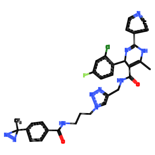 CC1=C(C(=O)NCc2cn(CCCNC(=O)c3ccc(C4(C(F)(F)F)N=N4)cc3)nn2)C(c2ccc(F)cc2Cl)N=C(c2ccncc2)N1